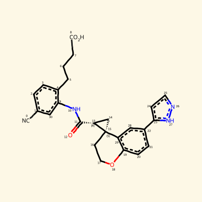 N#Cc1ccc(CCCC(=O)O)c(NC(=O)[C@@H]2C[C@]23CCOc2ccc(-c4ccn[nH]4)cc23)c1